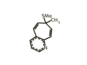 CSC1(C)C=Cc2cccnc2C=C1